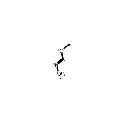 [CH2]O/C=N/O